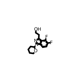 OCCc1nn(C2CCCCO2)c2ccc(F)c(F)c12